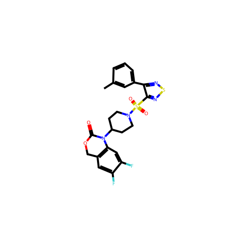 Cc1cccc(-c2nsnc2S(=O)(=O)N2CCC(N3C(=O)OCc4cc(F)c(F)cc43)CC2)c1